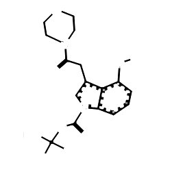 COc1cccc2c1c(CC(=O)N1CCOCC1)cn2C(=O)OC(C)(C)C